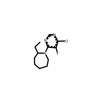 CCC1CCCCCN1c1ncnc(Cl)c1F